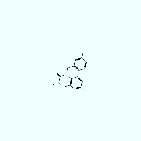 C[C@@H]1Oc2nc(Cl)ccc2N(Cc2cccc(Cl)c2)C1=O